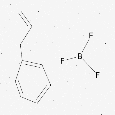 C=CCc1ccccc1.FB(F)F